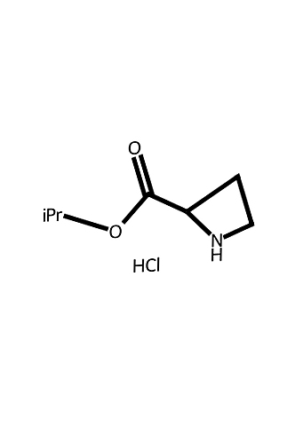 CC(C)OC(=O)C1CCN1.Cl